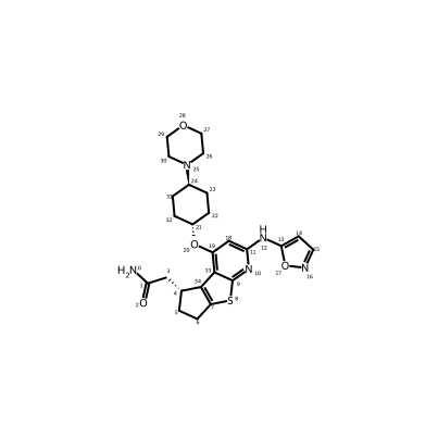 NC(=O)C[C@H]1CCc2sc3nc(Nc4ccno4)cc(O[C@H]4CC[C@H](N5CCOCC5)CC4)c3c21